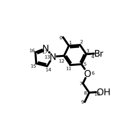 Cc1cc(Br)c(OCC(C)O)cc1-n1cccn1